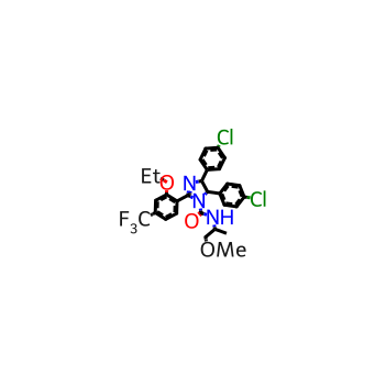 CCOc1cc(C(F)(F)F)ccc1C1=NC(c2ccc(Cl)cc2)C(c2ccc(Cl)cc2)N1C(=O)NC(C)COC